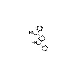 N=CC(c1ccccc1)c1cccc(C(C=N)c2ccccc2)n1